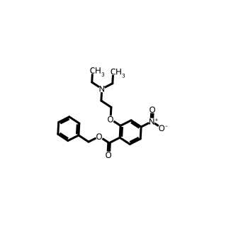 CCN(CC)CCOc1cc([N+](=O)[O-])ccc1C(=O)OCc1ccccc1